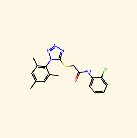 Cc1cc(C)c(-n2nnnc2SCC(=O)Nc2ccccc2Cl)c(C)c1